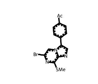 CSc1nc(Br)cn2c(-c3ccc(C(C)=O)cc3)cnc12